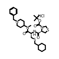 CN(C(=O)[C@H](CSCC1CCCCC1)NC(=O)[C@@H]1CSCN1C(=O)OC(C)(C)C)C1CCN(Cc2ccccc2)CC1.Cl